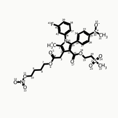 Cc1c(CC(=O)OCCCCO[N+](=O)[O-])c(C(=O)OCCS(C)(=O)=O)c(-c2ccc([S+](C)[O-])cc2)n1-c1cccc(F)c1